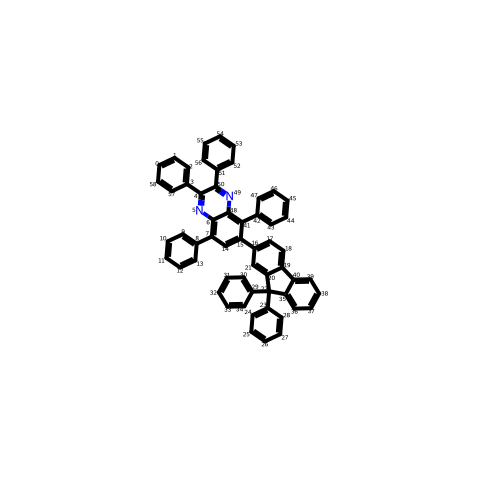 c1ccc(-c2nc3c(-c4ccccc4)cc(-c4ccc5c(c4)C(c4ccccc4)(c4ccccc4)c4ccccc4-5)c(-c4ccccc4)c3nc2-c2ccccc2)cc1